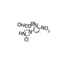 CC(C)(C)OC=O.O=[N+]([O-])c1ccc(N2CCNC(Cl)C2)cc1